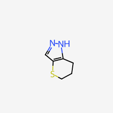 c1n[nH]c2c1SCCC2